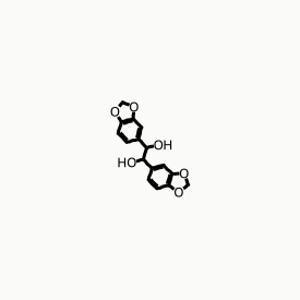 OC(c1ccc2c(c1)OCO2)C(O)c1ccc2c(c1)OCO2